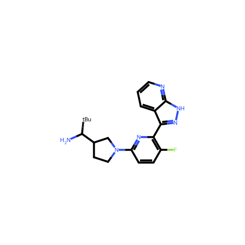 CC(C)(C)C(N)C1CCN(c2ccc(F)c(-c3n[nH]c4ncccc34)n2)C1